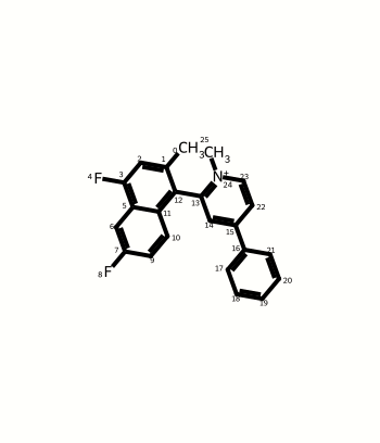 Cc1cc(F)c2cc(F)ccc2c1-c1cc(-c2ccccc2)cc[n+]1C